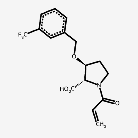 C=CC(=O)N1CC[C@H](OCc2cccc(C(F)(F)F)c2)[C@H]1C(=O)O